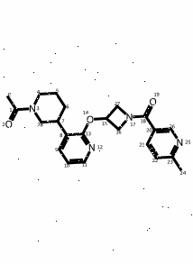 CC(=O)N1CCCC(c2cccnc2OC2CN(C(=O)c3ccc(C)nc3)C2)C1